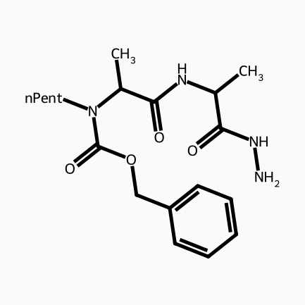 CCCCCN(C(=O)OCc1ccccc1)C(C)C(=O)NC(C)C(=O)NN